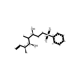 C=C[C@H](C)[C@H](O)C(C)[C@@H](O)CCS(=O)(=O)c1ccccc1